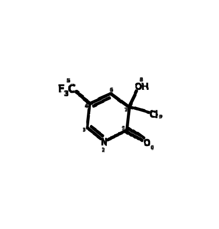 O=C1N=CC(C(F)(F)F)=CC1(O)Cl